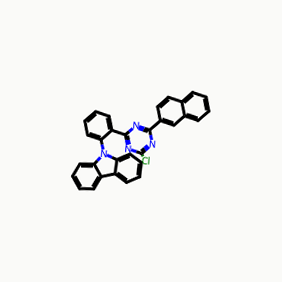 Clc1nc(-c2ccc3ccccc3c2)nc(-c2ccccc2-n2c3ccccc3c3ccccc32)n1